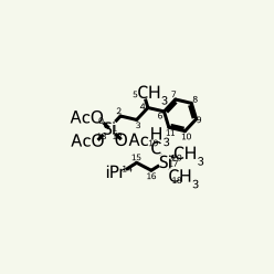 CC(=O)O[Si](CCC(C)c1ccccc1)(OC(C)=O)OC(C)=O.CC(C)CC[Si](C)(C)C